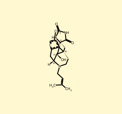 CC(C)=CCN1CC[C@]23C[C@]4(CC[C@@]2(O)[C@H]1Cc1ccc(C)cc13)NC(=O)NC4=O